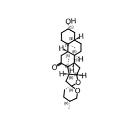 C[C@@H]1CC[C@@]2(C[C@H]3[C@H](C[C@H]4[C@@H]5CC[C@H]6C[C@@H](O)CC[C@]6(C)[C@H]5CC(=O)[C@@]43C)O2)OC1